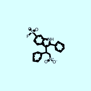 O=[N+]([O-])CC(c1ccccc1)c1c(-c2ccccc2)[nH]c2cc(S(=O)(=O)F)ccc12